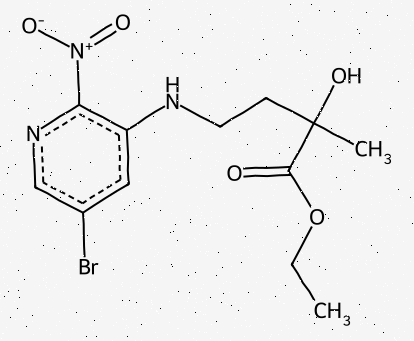 CCOC(=O)C(C)(O)CCNc1cc(Br)cnc1[N+](=O)[O-]